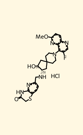 COc1ccc2ncc(F)c(N3CCC4(CC3)C[C@H](NCc3ccc5c(n3)NC(=O)CS5)[C@@H](O)C4)c2n1.Cl